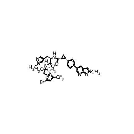 Cn1cc(C[C@@H](NC(=O)[C@H]2C[C@@H]2c2ccc(-c3cnc4nn(C)cc4c3)cc2)C(=O)NC(C)(C)Cn2nc(C(F)(F)F)cc2Br)cn1